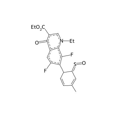 CCOC(=O)c1cn(CC)c2c(F)c(C3C=CC(C)=CC3=S=O)c(F)cc2c1=O